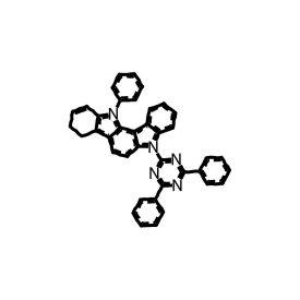 C1=Cc2c(c3ccc4c(c5ccccc5n4-c4nc(-c5ccccc5)nc(-c5ccccc5)n4)c3n2-c2ccccc2)CC1